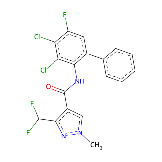 Cn1cc(C(=O)Nc2c(-c3ccccc3)cc(F)c(Cl)c2Cl)c(C(F)F)n1